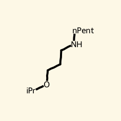 CCCCCNCCCOC(C)C